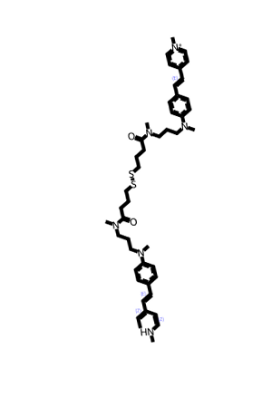 C/C=C(\C=C/NC)/C=C/c1ccc(N(C)CCCN(C)C(=O)CCCSSCCCC(=O)N(C)CCCN(C)c2ccc(/C=C/c3cc[n+](C)cc3)cc2)cc1